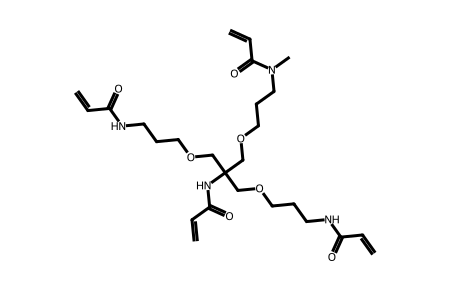 C=CC(=O)NCCCOCC(COCCCNC(=O)C=C)(COCCCN(C)C(=O)C=C)NC(=O)C=C